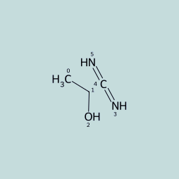 CCO.N=C=N